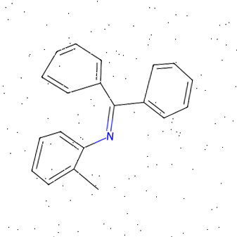 Cc1ccccc1N=C(c1ccccc1)c1ccccc1